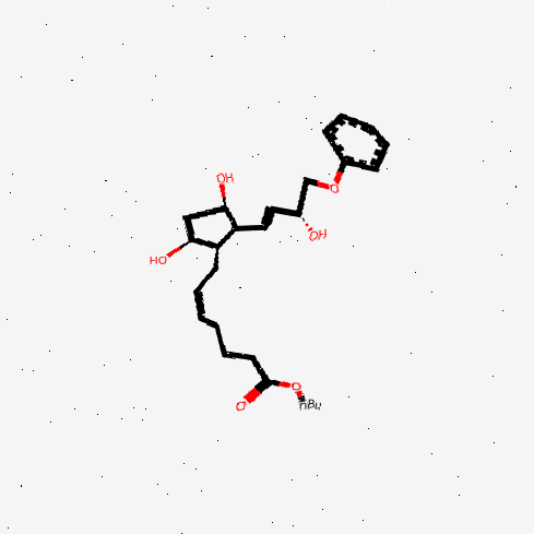 CCCCOC(=O)CCC/C=C\C[C@@H]1C(/C=C/[C@@H](O)COc2ccccc2)[C@H](O)C[C@@H]1O